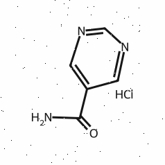 Cl.NC(=O)c1cncnc1